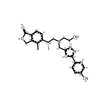 Cc1c([C@@H](C)CN(CCO)Cc2nnc(-c3ccc(C#N)cn3)o2)ccc2c1COC2=O